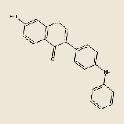 O=c1c(-c2ccc(Nc3ccccc3)cc2)coc2cc(O)ccc12